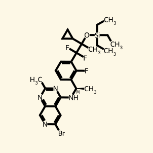 CC[Si](CC)(CC)OC(C)(C1CC1)C(F)(F)c1cccc([C@@H](C)Nc2nc(C)nc3cnc(Br)cc23)c1F